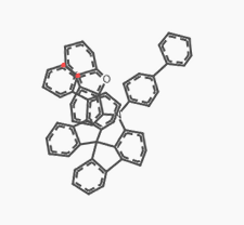 c1ccc(-c2ccc(N(c3cccc4c3C3(c5ccccc5-4)c4ccccc4-c4c(-c5ccccc5)cccc43)c3cccc4c3oc3ccccc34)cc2)cc1